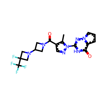 Cc1c(C(=O)N2CC(N3CC(F)(C(F)(F)F)C3)C2)cnn1-c1nn2cccc2c(=O)[nH]1